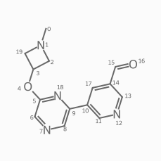 CN1CC(Oc2cncc(-c3cncc(C=O)c3)n2)C1